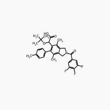 Cc1ccc(-c2c(C)c3c(c(C)c2C(OC(C)(C)C)C(=O)O)CN(C(=O)c2cc(F)c(F)c(F)c2)C3)cc1